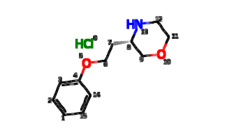 Cl.c1ccc(OCC[C@H]2COCCN2)cc1